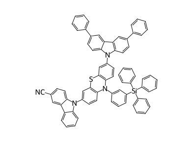 N#Cc1ccc2c(c1)c1ccccc1n2-c1ccc2c(c1)Sc1cc(-n3c4ccc(-c5ccccc5)cc4c4cc(-c5ccccc5)ccc43)ccc1N2c1cccc([Si](c2ccccc2)(c2ccccc2)c2ccccc2)c1